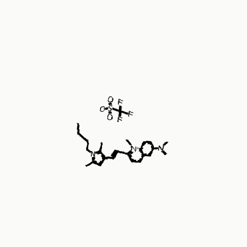 CCCCn1c(C)cc(/C=C/c2ccc3cc(N(C)C)ccc3[n+]2C)c1C.O=S(=O)([O-])C(F)(F)F